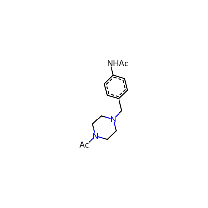 CC(=O)Nc1ccc(CN2CCN(C(C)=O)CC2)cc1